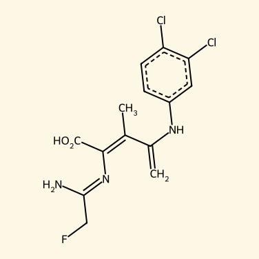 C=C(Nc1ccc(Cl)c(Cl)c1)/C(C)=C(\N=C(/N)CF)C(=O)O